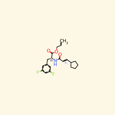 C=CCOC(=O)[C@H](Cc1cc(F)cc(F)c1)NC(=O)/C=C/C1CCCC1